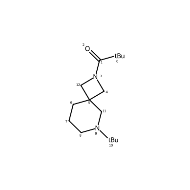 CC(C)(C)C(=O)N1CC2(CCCN(C(C)(C)C)C2)C1